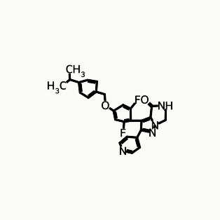 CC(C)c1ccc(COc2cc(F)c(-c3c(-c4ccncc4)nn4c3C(=O)NCC4)c(F)c2)cc1